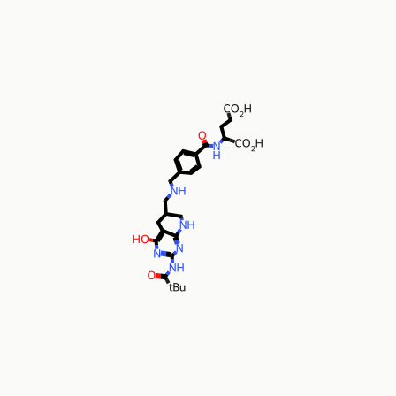 CC(C)(C)C(=O)Nc1nc(O)c2c(n1)NCC(CNCc1ccc(C(=O)NC(CCC(=O)O)C(=O)O)cc1)C2